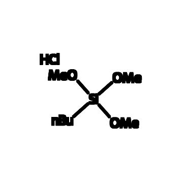 CCCC[Si](OC)(OC)OC.Cl